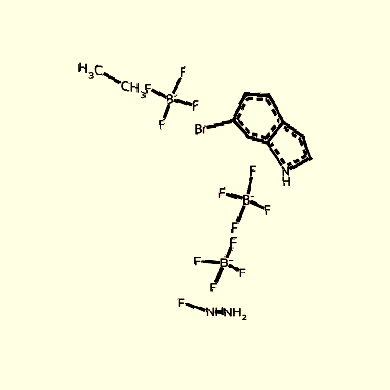 Brc1ccc2cc[nH]c2c1.CC.F[B-](F)(F)F.F[B-](F)(F)F.F[B-](F)(F)F.NNF